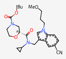 COCCCn1cc(CN(C(=O)[C@H]2CN(C(=O)OC(C)(C)C)CCO2)C2CC2)c2cc(C#N)ccc21